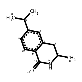 CC1Cc2cc(C(C)C)ccc2C(=O)N1